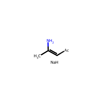 CC(=O)/C=C(/C)N.[NaH]